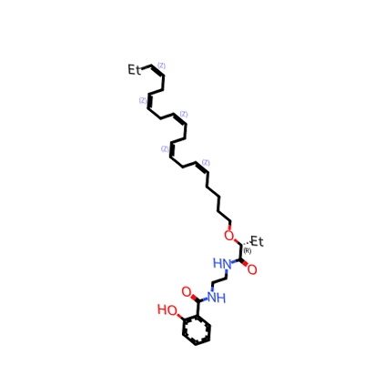 CC/C=C\C/C=C\C/C=C\C/C=C\C/C=C\CCCCO[C@H](CC)C(=O)NCCNC(=O)c1ccccc1O